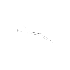 [LiH].[Ni].[O]=[Ti]=[O]